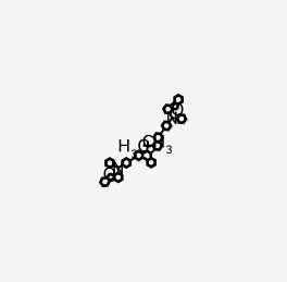 CC1(C)c2c(ccc3cc(-c4ccc(N(c5ccccc5)c5cccc6c5oc5ccccc56)cc4)ccc23)-c2c1c1ccc(-c3ccc(N(c4ccccc4)c4cccc5c4oc4ccccc45)cc3)cc1c1ccccc21